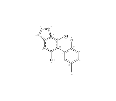 Oc1nc2ncnn2c(O)c1-c1cc(F)ccc1Cl